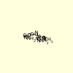 Cn1ccc(-c2cn(-c3cncc(COc4ccc(-c5ncco5)c(N)c4)c3)c3ncnc(N)c23)n1